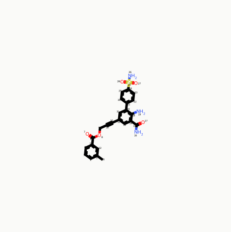 Cc1cccc(C(=O)OCC#Cc2cc(C(N)=O)c(N)c(-c3ccc(S(N)(=O)=O)cc3)c2)c1